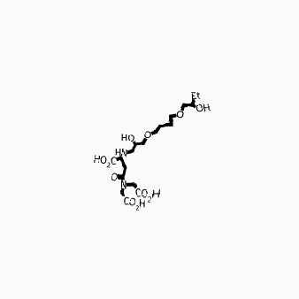 CCC(O)COCCCCOCC(O)CNC(CC(=O)N(CC(=O)O)CC(=O)O)C(=O)O